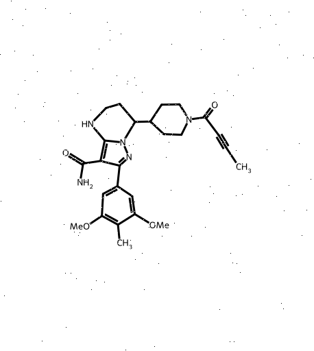 CC#CC(=O)N1CCC(C2CCNc3c(C(N)=O)c(-c4cc(OC)c(C)c(OC)c4)nn32)CC1